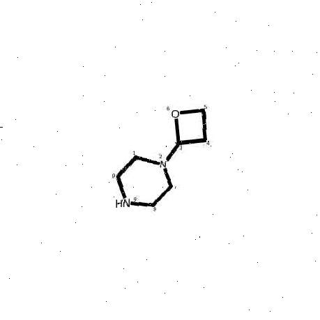 C1CN([C]2CCO2)CCN1